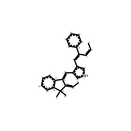 C/C=C\C(=C/c1c[nH]cc1/C=C1\C(=C/C)C(C)(C)c2ccccc21)c1ccccc1